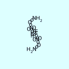 Nc1ccc(Oc2ccc(N3C(=O)c4ccc(C(c5ccc6c(c5)C(=O)N(c5ccc(Oc7ccc(N)cc7)cc5)C6=O)(C(F)(F)F)C(F)(F)F)cc4C3=O)cc2)cc1